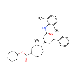 Cc1cccc(C)c1NC(=O)CC(CCc1ccccc1)C1CCCC(C(=O)OC2CCCCC2)CC1C